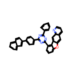 c1ccc(-c2nc(-c3ccc(-c4ccc5ccccc5c4)cc3)nc(-c3cccc4oc5cc6cccnc6cc5c34)n2)cc1